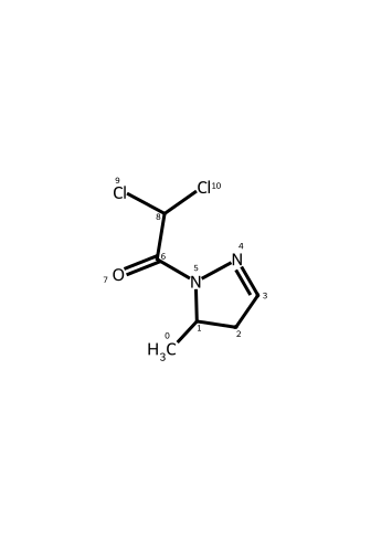 CC1CC=NN1C(=O)C(Cl)Cl